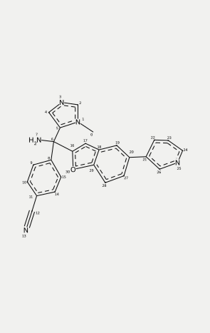 Cn1cncc1C(N)(c1ccc(C#N)cc1)c1cc2cc(-c3cccnc3)ccc2o1